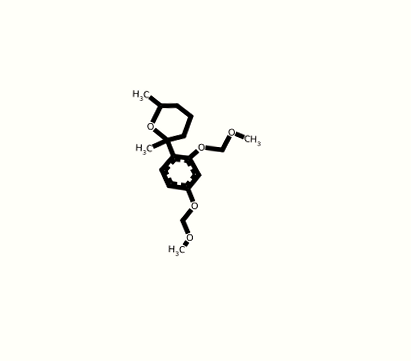 COCOc1ccc(C2(C)CCCC(C)O2)c(OCOC)c1